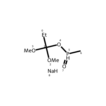 CCC(OC)(OC)O[PH](C)=O.[NaH]